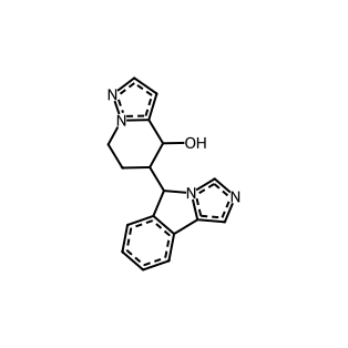 OC1c2ccnn2CCC1C1c2ccccc2-c2cncn21